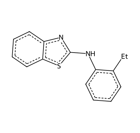 CCc1ccccc1Nc1nc2ccccc2s1